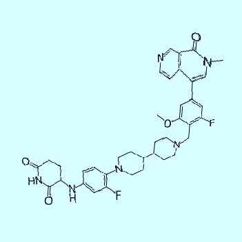 COc1cc(-c2cn(C)c(=O)c3cnccc23)cc(F)c1CN1CCC(C2CCN(c3ccc(NC4CCC(=O)NC4=O)cc3F)CC2)CC1